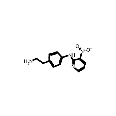 NCCc1ccc(Nc2ncccc2[N+](=O)[O-])cc1